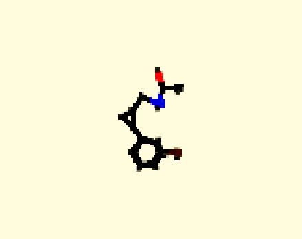 CCC(=O)NCC1CC1c1cccc(Br)c1